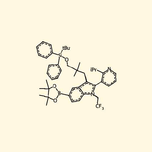 CC(C)c1ncccc1-c1c(CC(C)(C)CO[Si](c2ccccc2)(c2ccccc2)C(C)(C)C)c2cc(B3OC(C)(C)C(C)(C)O3)ccc2n1CC(F)(F)F